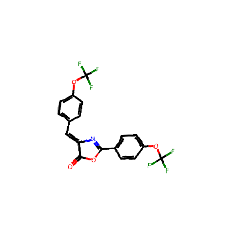 O=C1OC(c2ccc(OC(F)(F)F)cc2)=NC1=Cc1ccc(OC(F)(F)F)cc1